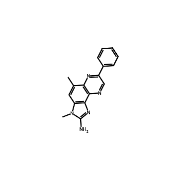 Cc1cc2c(nc(N)n2C)c2ncc(-c3ccccc3)nc12